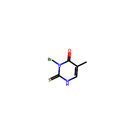 Cc1c[nH]c(=S)n(Br)c1=O